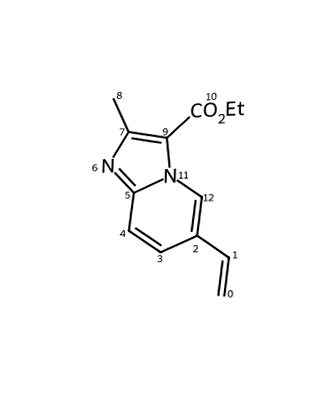 C=Cc1ccc2nc(C)c(C(=O)OCC)n2c1